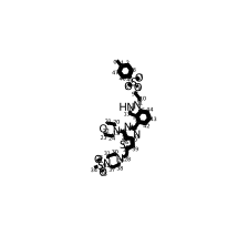 Cc1ccc(S(=O)(=O)OCCN2NCc3c(-c4nc(N5CCOCC5)c5sc(CN6CCN(S(C)(=O)=O)CC6)cc5n4)cccc32)cc1